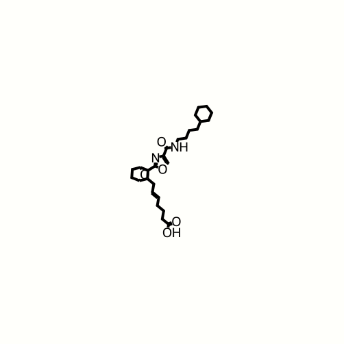 O=C(O)CCCC=CCC1C2CCC(O2)C1c1nc(C(=O)NCCCCC2CCCCC2)co1